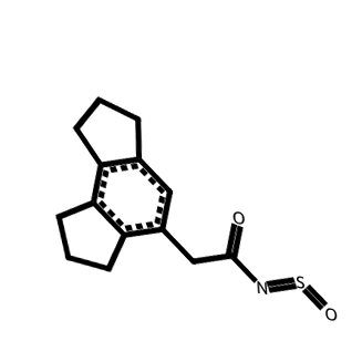 O=S=NC(=O)Cc1cc2c(c3c1CCC3)CCC2